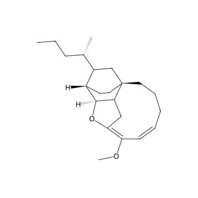 CCC[C@H](C)C1C[C@]23CCC/C=C\C(OC)=C4/CC2[C@@H](O4)[C@H]1CC3